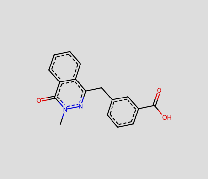 Cn1nc(Cc2cccc(C(=O)O)c2)c2ccccc2c1=O